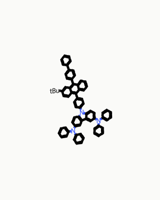 CC(C)(C)c1ccc2c(-c3ccc(-n4c5ccc(N(c6ccccc6)c6ccccc6)cc5c5cc(N(c6ccccc6)c6ccccc6)ccc54)cc3)c3ccccc3c(-c3ccc(-c4ccccc4)cc3)c2c1